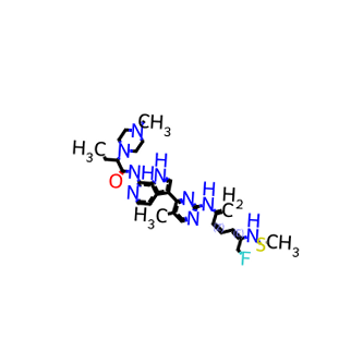 C=C(/C=C\C=C(/CF)NSC)Nc1ncc(C)c(-c2c[nH]c3c(NC(=O)C(CC)N4CCN(C)CC4)nccc23)n1